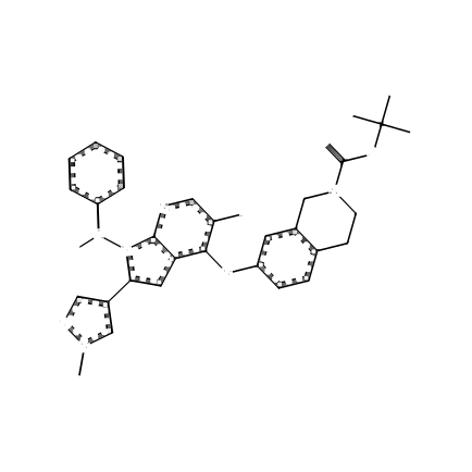 Cn1cc(-c2cc3c(Nc4ccc5c(c4)CN(C(=O)OC(C)(C)C)CC5)c(F)cnc3n2[S+]([O-])c2ccccc2)cn1